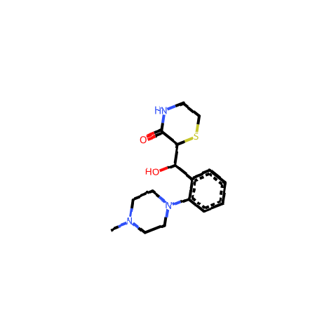 CN1CCN(c2ccccc2C(O)C2SCCNC2=O)CC1